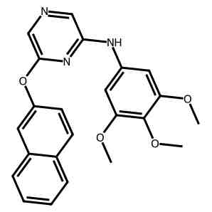 COc1cc(Nc2cncc(Oc3ccc4ccccc4c3)n2)cc(OC)c1OC